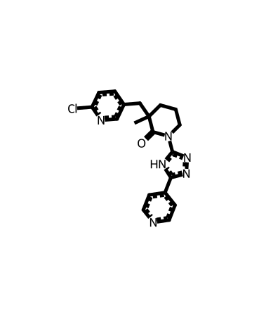 CC1(Cc2ccc(Cl)nc2)CCCN(c2nnc(-c3ccncc3)[nH]2)C1=O